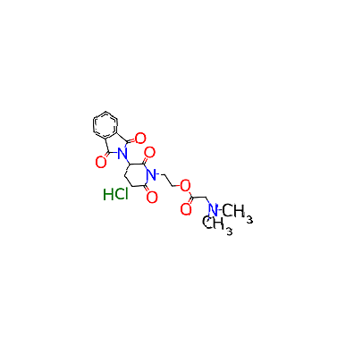 CN(C)CC(=O)OCCN1C(=O)CCC(N2C(=O)c3ccccc3C2=O)C1=O.Cl